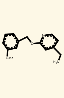 COc1cccc(COc2cc(CN)ccn2)c1